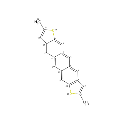 Cc1cc2cc3cc4cc5sc(C)cc5cc4cc3cc2s1